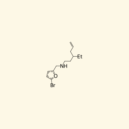 C=CCC(CC)CCNCc1ccc(Br)o1